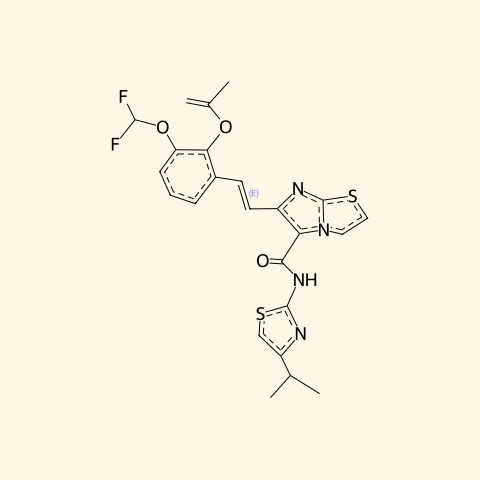 C=C(C)Oc1c(/C=C/c2nc3sccn3c2C(=O)Nc2nc(C(C)C)cs2)cccc1OC(F)F